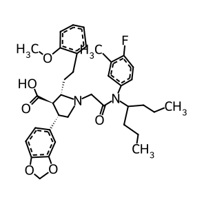 CCCC(CCC)N(C(=O)CN1C[C@H](c2ccc3c(c2)OCO3)[C@@H](C(=O)O)[C@@H]1CCc1ccccc1OC)c1ccc(F)c(C)c1